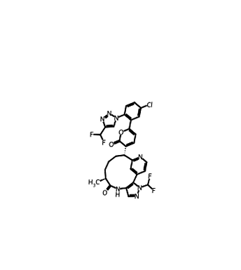 C[C@H]1CCC[C@H](c2ccc(-c3cc(Cl)ccc3-n3cc(C(F)F)nn3)oc2=O)c2cc(ccn2)-c2c(cnn2C(F)F)NC1=O